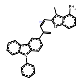 Bc1cccc2oc(/C=C\C(=C)c3ccc4c(c3)c3ccccc3n4-c3ccccc3)c(C)c12